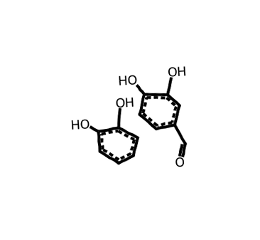 O=Cc1ccc(O)c(O)c1.Oc1ccccc1O